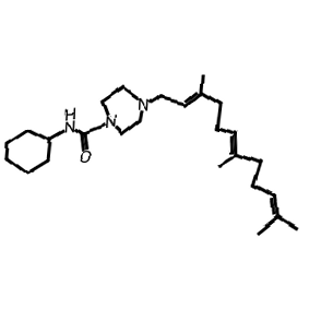 CC(C)=CCC/C(C)=C/CC/C(C)=C/CN1CCN(C(=O)NC2CCCCC2)CC1